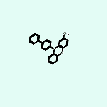 Cc1ccc2c(c1)N(c1ccc(-c3ccccc3)cc1)c1ccccc1O2